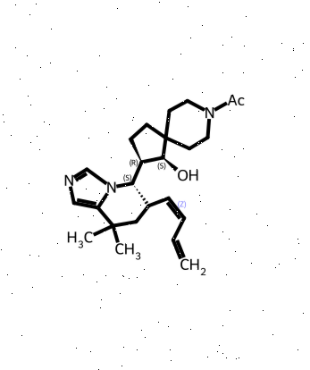 C=C/C=C\C1CC(C)(C)c2cncn2[C@@H]1[C@H]1CCC2(CCN(C(C)=O)CC2)[C@H]1O